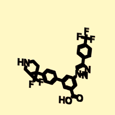 O=C(O)c1cc(-c2ccc(C34CCNCC3C4(F)F)cc2)cc(-n2cc(-c3ccc(C(F)(F)F)cc3)nn2)c1